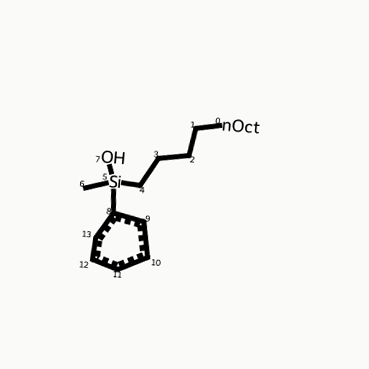 CCCCCCCCCCCC[Si](C)(O)c1ccccc1